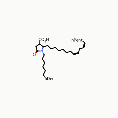 CCCCC/C=C\C/C=C\CCCCCCCC1C(C(=O)O)CC(=O)N1CCCCCCCCCCCCCCCC